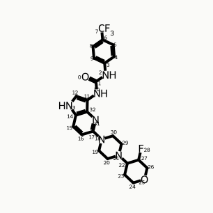 O=C(Nc1ccc(C(F)(F)F)cc1)Nc1c[nH]c2ccc(N3CCN(C4CCOCC4F)CC3)nc12